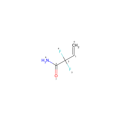 C=CC(F)(F)C(N)=O